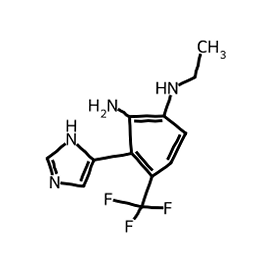 CCNc1ccc(C(F)(F)F)c(-c2cnc[nH]2)c1N